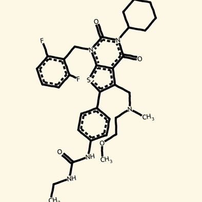 CCNC(=O)Nc1ccc(-c2sc3c(c2CN(C)CCOC)c(=O)n(C2CCCCC2)c(=O)n3Cc2c(F)cccc2F)cc1